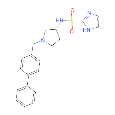 O=S(=O)(N[C@@H]1CCN(Cc2ccc(-c3ccccc3)cc2)C1)c1ncc[nH]1